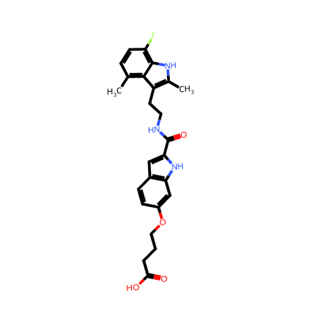 Cc1[nH]c2c(F)ccc(C)c2c1CCNC(=O)c1cc2ccc(OCCCC(=O)O)cc2[nH]1